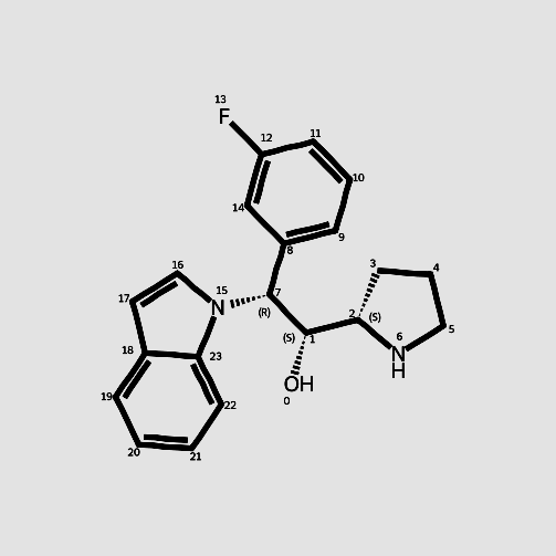 O[C@@H]([C@@H]1CCCN1)[C@@H](c1cccc(F)c1)n1ccc2ccccc21